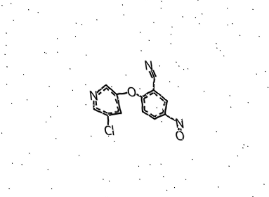 N#Cc1cc(N=O)ccc1Oc1cncc(Cl)c1